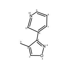 Cc1conc1-c1cccnc1